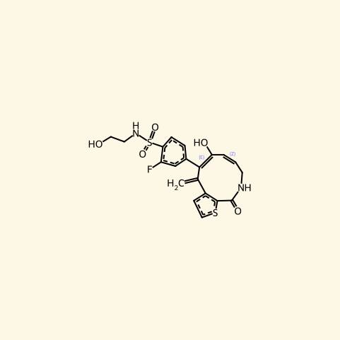 C=C1/C(c2ccc(S(=O)(=O)NCCO)c(F)c2)=C(O)\C=C/CNC(=O)c2sccc21